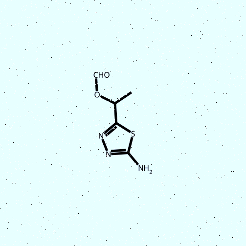 CC(OC=O)c1nnc(N)s1